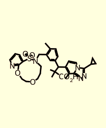 Cc1ccc(C(c2ccn3c(C4CC4)nnc3c2C)C(C)(C)C(=O)O)cc1CN1CCCOCCOc2ncccc2S1(=O)=O